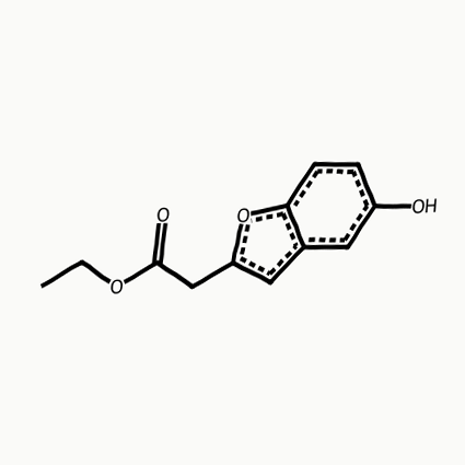 CCOC(=O)Cc1cc2cc(O)ccc2o1